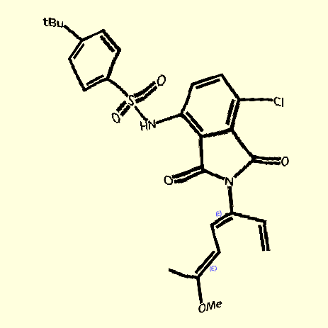 C=C/C(=C\C=C(/C)OC)N1C(=O)c2c(Cl)ccc(NS(=O)(=O)c3ccc(C(C)(C)C)cc3)c2C1=O